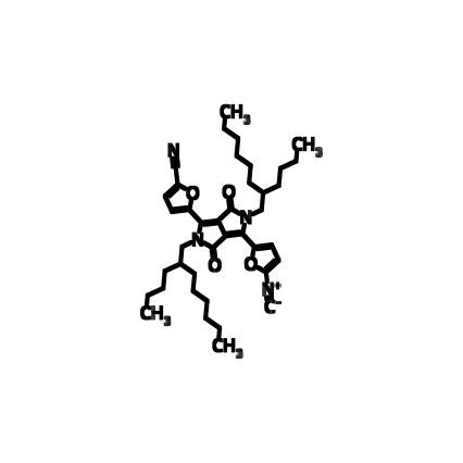 [C-]#[N+]c1ccc(C2=C3C(=O)N(CC(CCCC)CCCCCC)C(c4ccc(C#N)o4)=C3C(=O)N2CC(CCCC)CCCCCC)o1